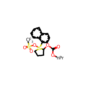 CCCOC(=O)OC1CCCS1(OS(=O)(=O)C(F)(F)F)c1cccc2ccccc12